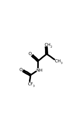 C=C(C)C(=O)NC(=O)C(F)(F)F